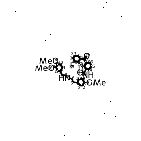 COc1ccc(CCNCCc2ccc(OC)c(OC)c2)cc1NC(=O)c1cccc2c(=O)c3cccc(F)c3[nH]c12